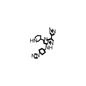 Cn1cc(-c2cnn3c(Nc4ccc(-n5ccnc5)cc4)cc(C4CCCNC4)nc23)cn1